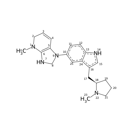 CN1CC=CC2=C1NCN2c1ccc2[nH]cc(C[C@H]3CCCN3C)c2c1